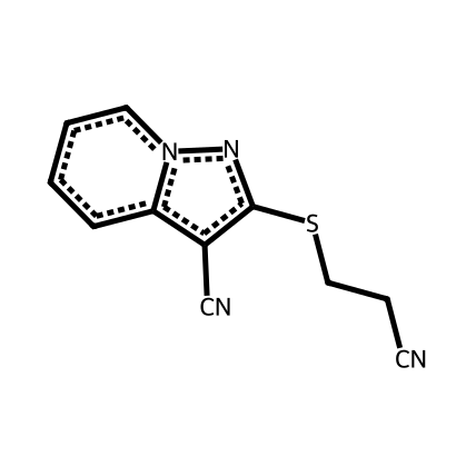 N#CCCSc1nn2ccccc2c1C#N